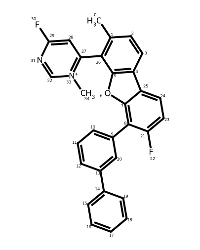 Cc1ccc2c(oc3c(-c4cccc(-c5ccccc5)c4)c(F)ccc32)c1-c1cc(F)nc[n+]1C